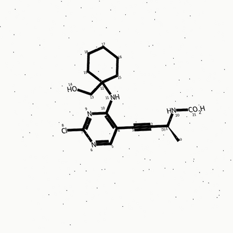 C[C@@H](C#Cc1cnc(Cl)nc1NC1(CO)CCCCC1)NC(=O)O